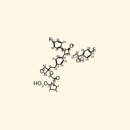 O=C(O)C1CCCN1C(=O)COC1(CCc2ccc(C3[C@@H](CCC(O)c4ccc(F)cc4)C(=O)N3c3ccc(F)cc3)cc2)COC1